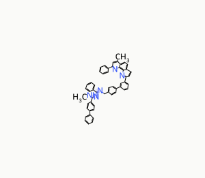 CN/C(=N\C(=N/Cc1ccc(-c2cccc(-c3ccc4ccc5c(C)cc(-c6ccccc6)nc5c4n3)c2)cc1)c1ccccc1)c1ccc(-c2ccccc2)cc1